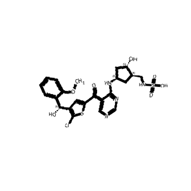 COc1ccccc1[C@@H](O)c1cc(C(=O)c2cncnc2N[C@H]2C[C@H](O)[C@@H]([CH]NS(=O)(=O)O)C2)sc1Cl